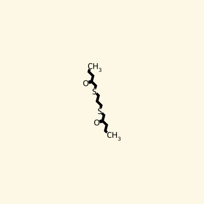 CCCC(=O)CSCCCSCC(=O)CCC